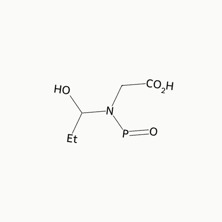 CCC(O)N(CC(=O)O)P=O